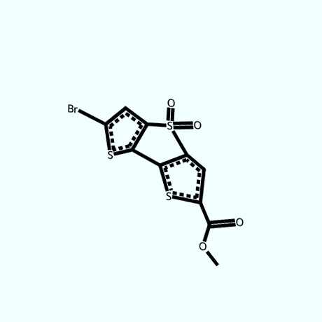 COC(=O)c1cc2c(s1)-c1sc(Br)cc1S2(=O)=O